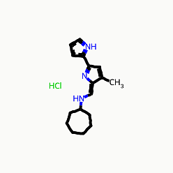 CC1=CC(c2ccc[nH]2)=NC1=CNC1CCCCCC1.Cl